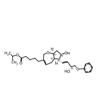 CC(C)OC(=O)CCCCC1=CC[C@@H]2[C@@H](C=C[C@@H](O)COc3ccccc3)[C@H](O)C[C@@H]2OC1